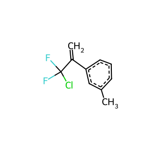 C=C(c1cccc(C)c1)C(F)(F)Cl